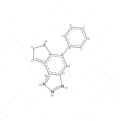 C1=c2c(c(-c3ccccc3)cc3c2=NN=N3)SC1